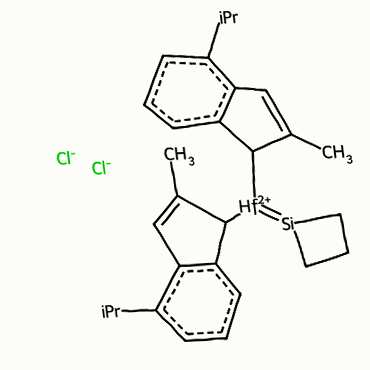 CC1=Cc2c(C(C)C)cccc2[CH]1[Hf+2]([CH]1C(C)=Cc2c(C(C)C)cccc21)=[Si]1CCC1.[Cl-].[Cl-]